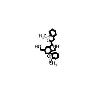 COc1ccccc1CC(=O)C1NCC2C1CC(CO)CC2(O)c1ccccc1OC